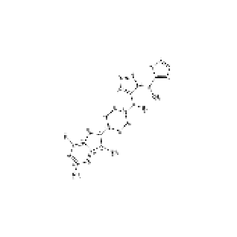 CCC(c1nnnn1C(C)c1cccs1)N1CCN(C2Sc3c(F)cc(N)cc3N2N)CC1